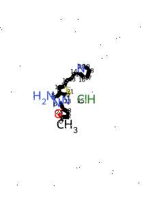 Cc1ccc(-c2nc(N)c3cc(CCCc4ccccn4)sc3n2)o1.Cl